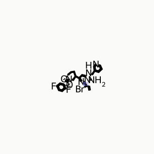 C=C/C(Br)=C1/N=C(C2CCCN(S(=O)(=O)c3cc(F)ccc3F)C2)C=C(NCc2cccnc2)N1N